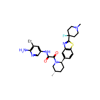 CCc1cc(NC(=O)C(=O)N2C[C@@H](C)CC[C@@H]2c2ccc3sc(C4(F)CCN(C)CC4)nc3c2)cnc1N